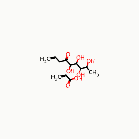 C=CC(=O)O.C=CCC(=O)C(O)C(O)C(O)C(C)O